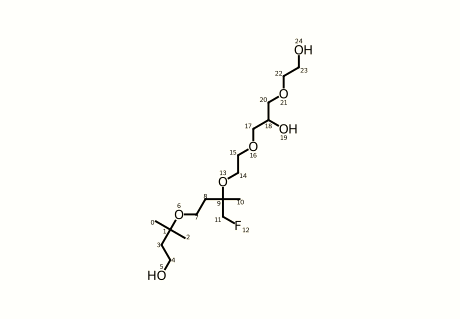 CC(C)(CCO)OCCC(C)(CF)OCCOCC(O)COCCO